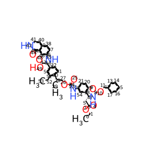 CCOC(=O)C[C@@H](NC(=O)OCc1ccccc1)c1cccc(NC(=O)OC[C@H](C)c2ccc(C(Nc3ccc4cc[nH]c(=O)c4c3)C(=O)O)cc2CC)c1